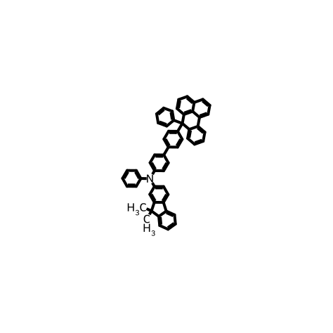 CC1(C)c2ccccc2-c2ccc(N(c3ccccc3)c3ccc(-c4ccc(C5(c6ccccc6)c6ccccc6-c6cccc7cccc5c67)cc4)cc3)cc21